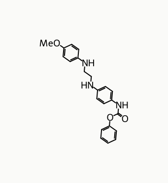 COc1ccc(NCCNc2ccc(NC(=O)Oc3ccccc3)cc2)cc1